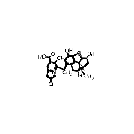 Cc1c(C(=O)O)cc2cc(Cl)cn2c1C(C)c1cc(O)c2c3c1C[C@@H]1[C@@H]4C=C[C@H](O)[C@H](O2)[C@]34CCN1C